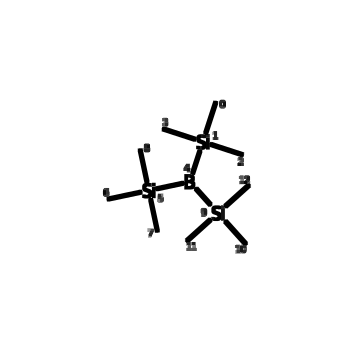 C[Si](C)(C)B([Si](C)(C)C)[Si](C)(C)C